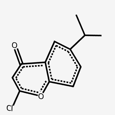 CC(C)c1ccc2oc(Cl)cc(=O)c2c1